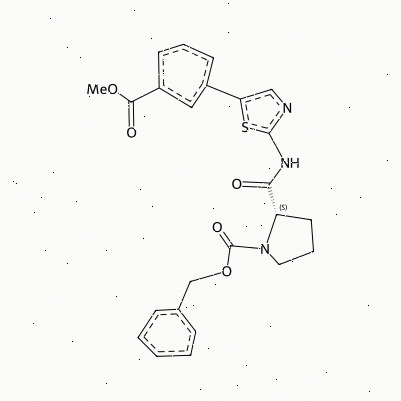 COC(=O)c1cccc(-c2cnc(NC(=O)[C@@H]3CCCN3C(=O)OCc3ccccc3)s2)c1